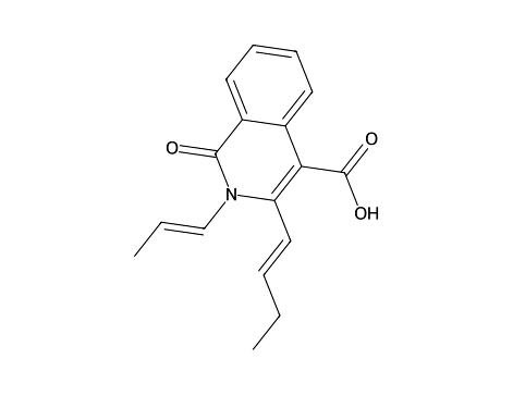 CC=Cn1c(C=CCC)c(C(=O)O)c2ccccc2c1=O